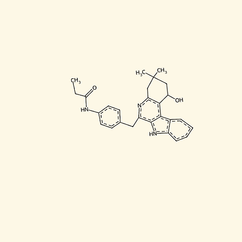 CCC(=O)Nc1ccc(Cc2nc3c(c4c2[nH]c2ccccc24)C(O)CC(C)(C)C3)cc1